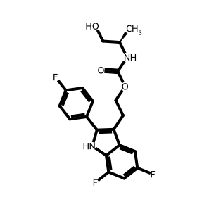 C[C@H](CO)NC(=O)OCCc1c(-c2ccc(F)cc2)[nH]c2c(F)cc(F)cc12